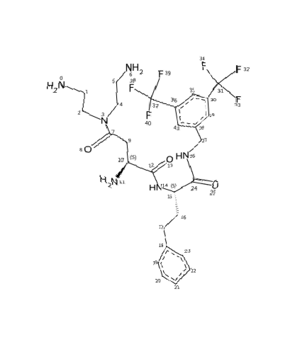 NCCN(CCN)C(=O)C[C@H](N)C(=O)N[C@@H](CCc1ccccc1)C(=O)NCc1cc(C(F)(F)F)cc(C(F)(F)F)c1